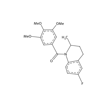 COc1cc(C(=O)N2c3ccc(F)cc3CCC2C)cc(OC)c1OC